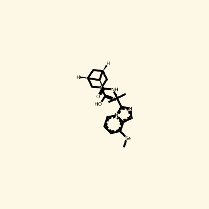 C[Se]c1cccn2c(C(C)(C)NC(=O)[C@@H]3[C@@H]4C[C@H]3CN(C(=O)O)C4)ncc12